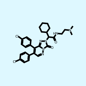 CN(C)CCNC(=O)C(C1CCCCC1)n1nc2c(-c3ccc(Cl)cc3)c(-c3ccc(Cl)cc3)cnn2c1=O